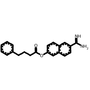 N=C(N)c1ccc2cc(OC(=O)CCCc3ccccc3)ccc2c1